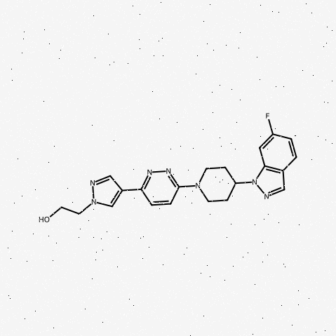 OCCn1cc(-c2ccc(N3CCC(n4ncc5ccc(F)cc54)CC3)nn2)cn1